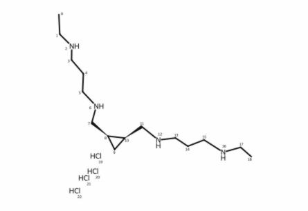 CCNCCCNC[C@@H]1C[C@@H]1CNCCCNCC.Cl.Cl.Cl.Cl